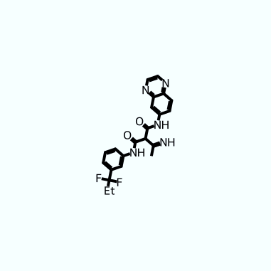 CCC(F)(F)c1cccc(NC(=O)C(C(C)=N)C(=O)Nc2ccc3nccnc3c2)c1